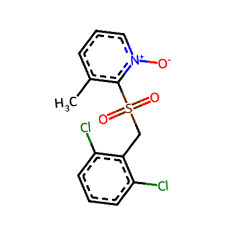 Cc1ccc[n+]([O-])c1S(=O)(=O)Cc1c(Cl)cccc1Cl